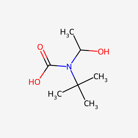 CC(O)N(C(=O)O)C(C)(C)C